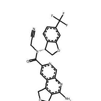 N#CCN(C(=O)c1cc2c3c(c(N)nc2cn1)COC3)[C@H]1COc2cc(C(F)(F)F)ccc21